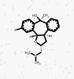 CN(C)C[C@H]1C[C@@H]2c3ccccc3[C@](C)(O)c3ccc(F)cc3[C@H]2O1